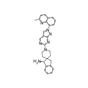 Cc1ccc2cccc(-n3cc4cnc(N5CCC6(CC5)Cc5ccccc5[C@H]6N)nc4n3)c2n1